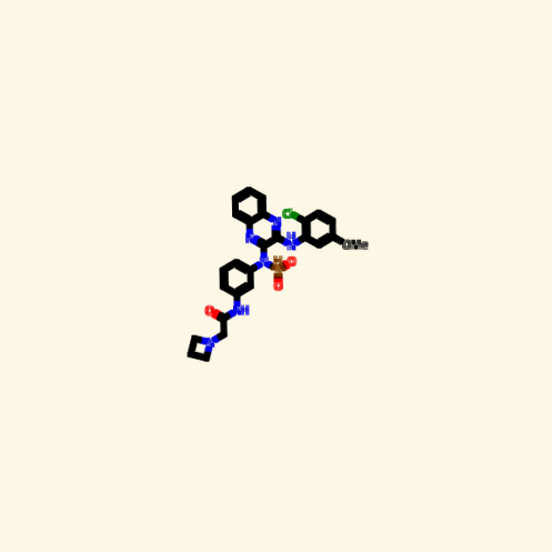 COc1ccc(Cl)c(Nc2nc3ccccc3nc2N(c2cccc(NC(=O)CN3CCC3)c2)[SH](=O)=O)c1